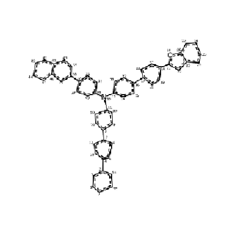 c1ccc(-c2ccc(-c3ccc(N(c4ccc(-c5ccc(-c6cc7ccccc7o6)cc5)cc4)c4ccc(-c5ccc6ccccc6c5)cc4)cc3)cc2)cc1